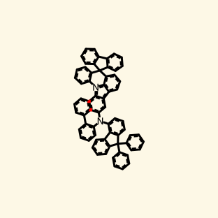 c1ccc(-c2ccccc2N(c2ccc3c(c2)c2cccc4c2n3-c2ccccc2C42c3ccccc3-c3ccccc32)c2cccc3c2-c2ccccc2C3(c2ccccc2)c2ccccc2)cc1